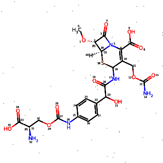 CO[C@@H]1C(=O)N2C(C(=O)O)=C(COC(N)=O)C(NC(=O)C(O)c3ccc(NC(=O)OC[C@@H](N)C(=O)O)cc3)S[C@@H]12